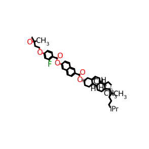 CC(C)CCC[C@@H](C)[C@H]1CC[C@H]2[C@@H]3CC=C4C[C@@H](OC(=O)c5ccc6cc(OC(=O)c7ccc(OCCC8(C)CO8)cc7F)ccc6c5)CC[C@]4(C)[C@H]3CC[C@]12C